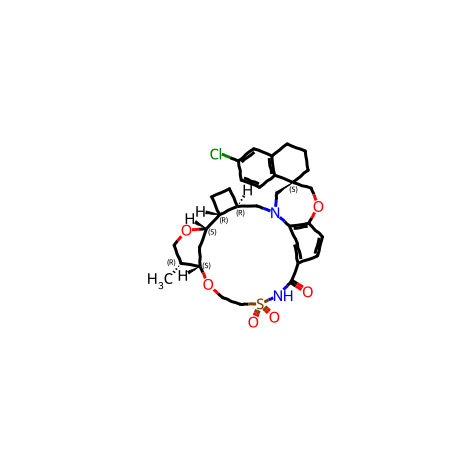 C[C@@H]1CO[C@H]2C[C@@H]1OCCS(=O)(=O)NC(=O)c1ccc3c(c1)N(C[C@@H]1CC[C@H]12)C[C@@]1(CCCc2cc(Cl)ccc21)CO3